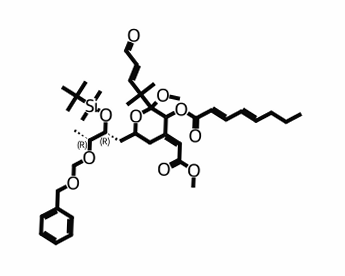 CCCC=CC=CC(=O)OC1C(=CC(=O)OC)CC(C[C@@H](O[Si](C)(C)C(C)(C)C)[C@@H](C)OCOCc2ccccc2)OC1(OC)C(C)(C)C=CC=O